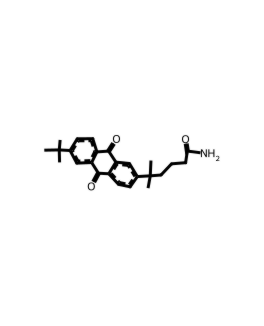 CC(C)(C)c1ccc2c(c1)C(=O)c1ccc(C(C)(C)CCCC(N)=O)cc1C2=O